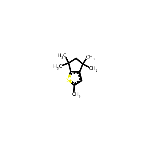 Cc1cc2c(s1)C(C)(C)CC2(C)C